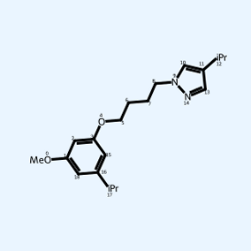 COc1cc(OCCCCn2cc(C(C)C)cn2)cc(C(C)C)c1